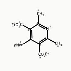 CCCCCCCCCc1c(C(=O)OCC)c(C)nc(C)c1C(=O)OCC